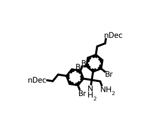 CCCCCCCCCCCCc1cc(Br)c(C(N)(CN)c2c(Br)cc(CCCCCCCCCCCC)cc2Br)c(Br)c1